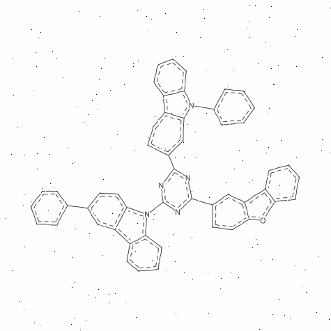 c1ccc(-c2ccc3c(c2)c2ccccc2n3-c2nc(-c3ccc4oc5ccccc5c4c3)nc(-c3ccc4c5ccccc5n(-c5ccccc5)c4c3)n2)cc1